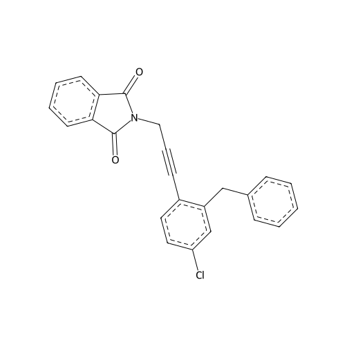 O=C1c2ccccc2C(=O)N1CC#Cc1ccc(Cl)cc1Cc1ccccc1